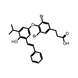 CC(C)c1cc(Oc2c(Br)cc(CCC(=O)O)cc2Br)cc(/C=C/c2ccccc2)c1O